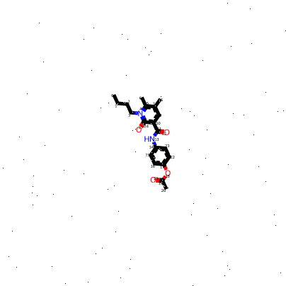 CCCCn1c(C)c(C)cc(C(=O)Nc2ccc(OC(C)=O)cc2)c1=O